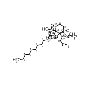 CCCCCCCCCCCC(=O)C1(S(=O)(=O)O)CCC[Si](OC)(OC)C1(CCC)OC